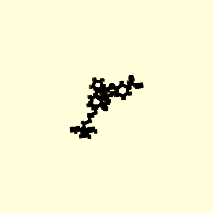 C[Si](C)(C)CCOCn1ncc(N2CCC[C@H]2COC2CCCC(C(=O)O)C2)c(C(F)(F)F)c1=O